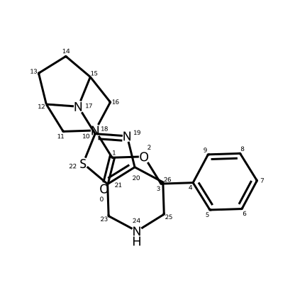 O=C(OCc1ccccc1)N1CC2CCC(C1)N2c1nc2c(s1)CNCC2